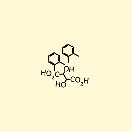 Cc1ccccc1C.Cc1ccccc1C.O=C(O)C(O)C(O)C(=O)O